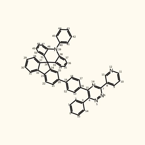 c1ccc(-c2nnc(-c3cccnc3)nc2-c2ccc(-c3ccc4c(c3)C3(c5ccccc5-4)c4ccccc4N(c4ccccc4)c4ccccc43)cc2)cc1